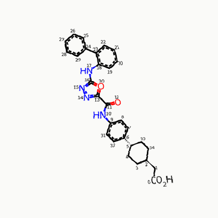 O=C(O)C[C@H]1CC[C@H](c2ccc(NC(=O)c3nnc(Nc4ccccc4-c4ccccc4)o3)cc2)CC1